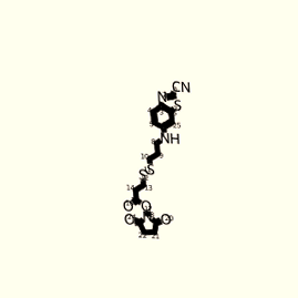 N#Cc1nc2ccc(NCCCSSCCC(=O)ON3C(=O)CCC3=O)cc2s1